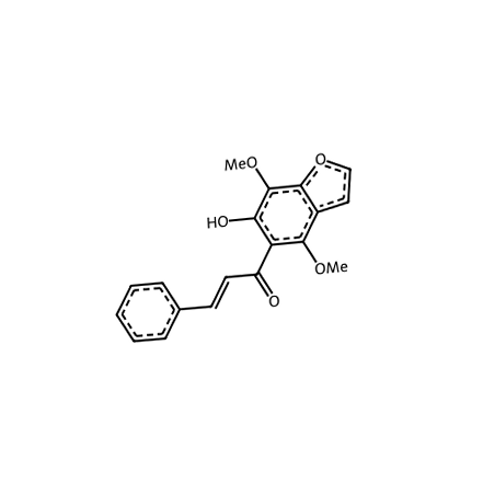 COc1c(C(=O)C=Cc2ccccc2)c(O)c(OC)c2occc12